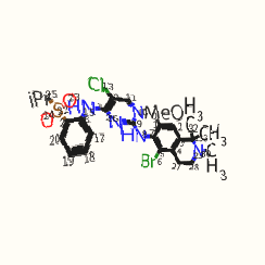 COc1cc2c(c(Br)c1Nc1ncc(Cl)c(Nc3ccccc3S(=O)(=O)C(C)C)n1)CCN(C)C2(C)C